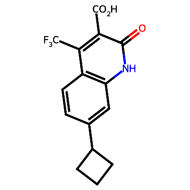 O=C(O)c1c(C(F)(F)F)c2ccc(C3CCC3)cc2[nH]c1=O